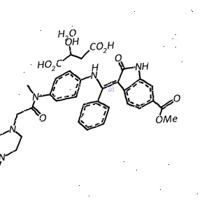 COC(=O)c1ccc2c(c1)NC(=O)/C2=C(\Nc1ccc(N(C)C(=O)CN2CCN(C)CC2)cc1)c1ccccc1.O.O=C(O)CC(O)C(=O)O